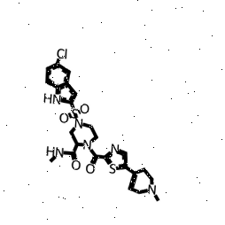 CNC(=O)C1CN(S(=O)(=O)c2cc3cc(Cl)ccc3[nH]2)CCN1C(=O)c1ncc(C2=CCN(C)CC2)s1